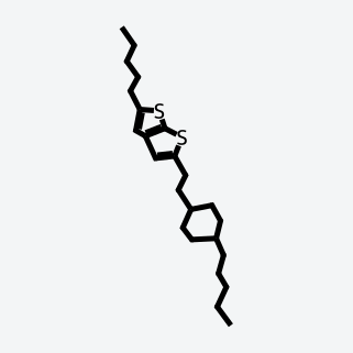 CCCCCc1cc2cc(CCC3CCC(CCCCC)CC3)sc2s1